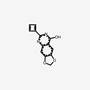 Oc1nc(C2=CC=C2)nc2cc3c(cc12)OCO3